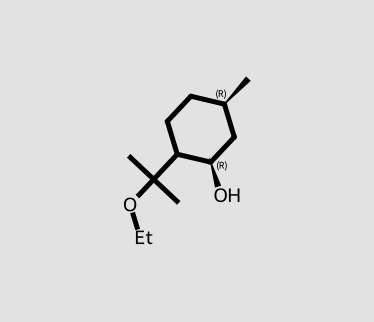 CCOC(C)(C)C1CC[C@@H](C)C[C@H]1O